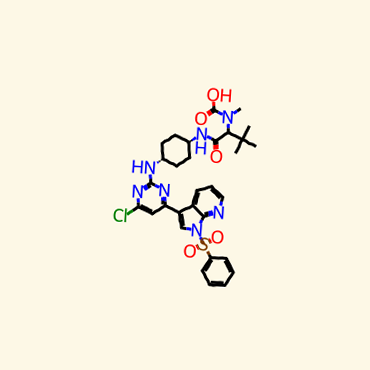 CN(C(=O)O)C(C(=O)N[C@H]1CC[C@H](Nc2nc(Cl)cc(-c3cn(S(=O)(=O)c4ccccc4)c4ncccc34)n2)CC1)C(C)(C)C